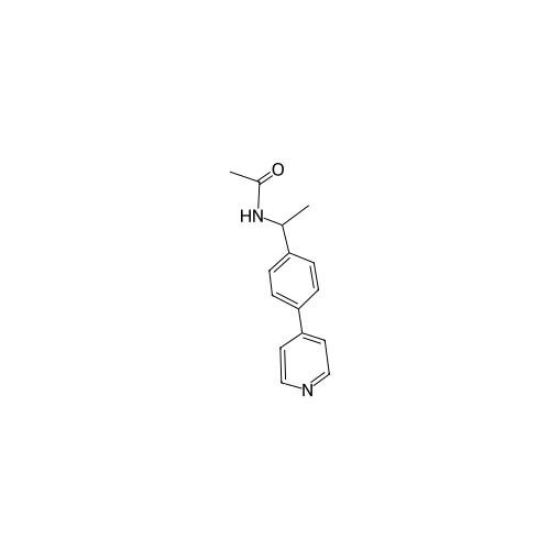 CC(=O)NC(C)c1ccc(-c2ccncc2)cc1